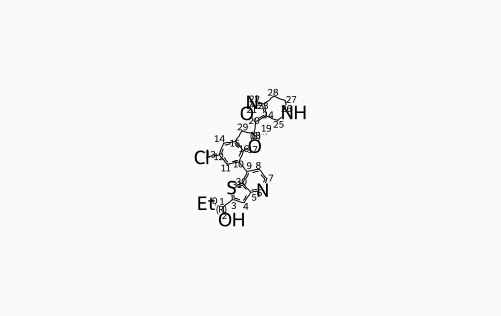 CC[C@@H](O)c1cc2nccc(-c3cc(Cl)cc4c3O[C@](C)(c3onc5c3CNCC5)C4)c2s1